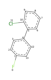 Fc1[c]cc(-c2ccccc2Cl)cc1